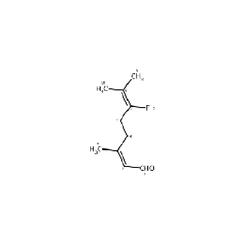 CC(=CC=O)CCC(F)=C(C)C